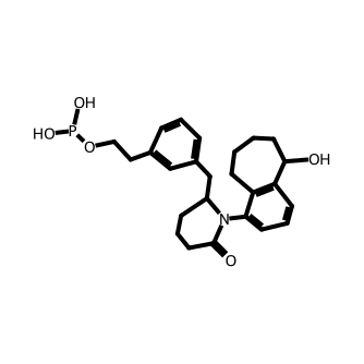 O=C1CCCC(Cc2cccc(CCOP(O)O)c2)N1c1cccc2c1CCCCC2O